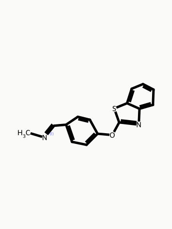 C/N=C/c1ccc(Oc2nc3ccccc3s2)cc1